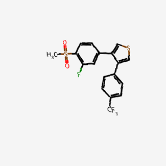 CS(=O)(=O)c1ccc(-c2cscc2-c2ccc(C(F)(F)F)cc2)cc1F